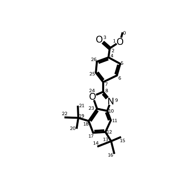 COC(=O)c1ccc(-c2nc3cc(C(C)(C)C)cc(C(C)(C)C)c3o2)cc1